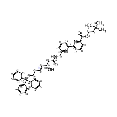 C[Si](C)(C)CCOC(=O)c1cccc(-c2cccc(CNC(=O)C[C@H](O)/C=C/CCSC(c3ccccc3)(c3ccccc3)c3ccccc3)n2)n1